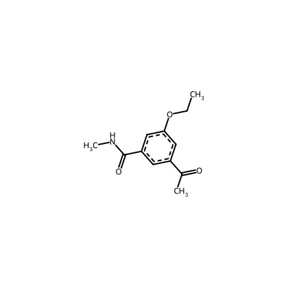 CCOc1cc(C(C)=O)cc(C(=O)NC)c1